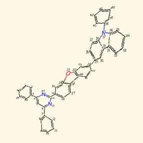 c1ccc(-c2cc(-c3ccccc3)nc(-c3ccc4c(c3)oc3cc(-c5ccc6c(c5)c5ccccc5n6-c5ccccc5)ccc34)n2)cc1